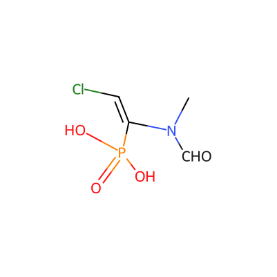 CN(C=O)C(=CCl)P(=O)(O)O